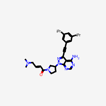 CC(C)c1cc(C#Cc2nn(C3CCN(C(=O)C=CCN(C)C)C3)c3ncnc(N)c23)cc(C(C)C)c1